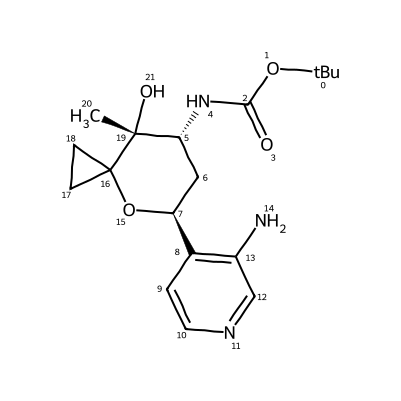 CC(C)(C)OC(=O)N[C@@H]1C[C@@H](c2ccncc2N)OC2(CC2)[C@]1(C)O